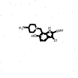 CCc1c(SC)[nH]c2c(CN3CCC(N)CC3)c(O)ccc12